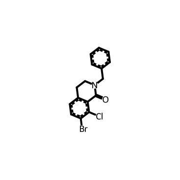 O=C1c2c(ccc(Br)c2Cl)CCN1Cc1ccccc1